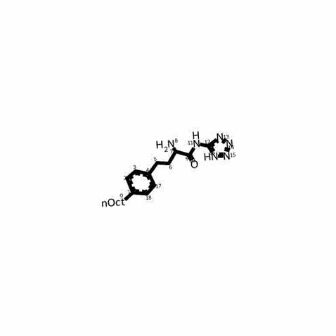 CCCCCCCCc1ccc(CCC(N)C(=O)Nc2nnn[nH]2)cc1